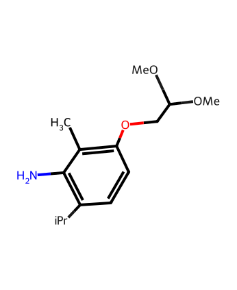 COC(COc1ccc(C(C)C)c(N)c1C)OC